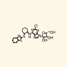 OC[C@H]1O[C@@H](n2cnc3c(N[C@@H]4CCCC[C@@H]4Sc4nc5ccccc5s4)nc(Cl)nc32)[C@H](O)[C@@H]1O